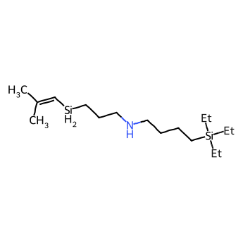 CC[Si](CC)(CC)CCCCNCCC[SiH2]C=C(C)C